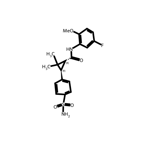 COc1ccc(F)cc1NC(=O)[C@@H]1[C@@H](c2ccc(S(N)(=O)=O)cc2)C1(C)C